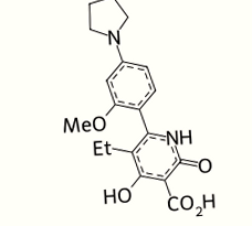 CCc1c(-c2ccc(N3CCCC3)cc2OC)[nH]c(=O)c(C(=O)O)c1O